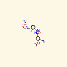 CCN(CC(=O)N(C)C)C1CCc2c(-c3noc(-c4ccc(OC(C)C)c(C#N)c4)n3)cccc21